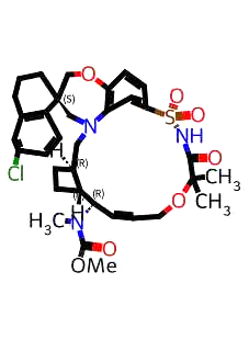 COC(=O)N(C)[C@H]1C=CCOC(C)(C)C(=O)NS(=O)(=O)c2ccc3c(c2)N(C[C@@H]2CC[C@H]21)C[C@@]1(CCCc2cc(Cl)ccc21)CO3